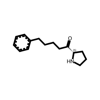 O=C(CCCCc1ccccc1)[C@@H]1CCCN1